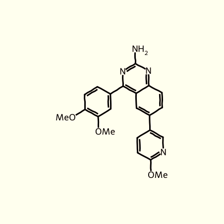 COc1ccc(-c2ccc3nc(N)nc(-c4ccc(OC)c(OC)c4)c3c2)cn1